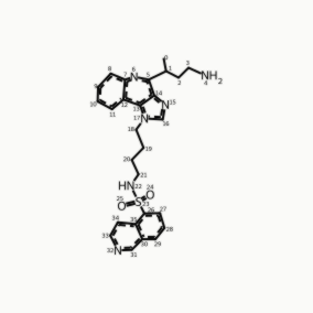 CC(CCN)c1nc2ccccc2c2c1ncn2CCCCNS(=O)(=O)c1cccc2cnccc12